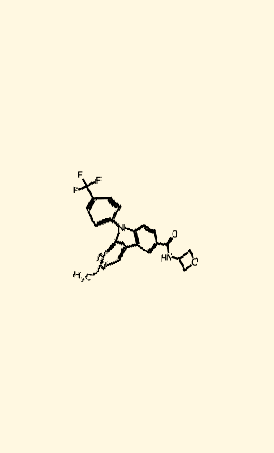 Cn1cc2c3cc(C(=O)NC4COC4)ccc3n(-c3ccc(C(F)(F)F)cc3)c2n1